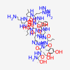 CC[C@H](C)[C@H](NC(=O)[C@H](Cc1c[nH]c2ccccc12)NC(=O)[C@H](Cc1c[nH]cn1)NC(=O)[C@@H](NC(=O)[C@@H](NC(=O)[C@H](Cc1ccc(O)cc1)NC(=O)[C@H](CCC(=O)O)NC(=O)[C@@H](N)[C@@H](C)O)[C@@H](C)CC)[C@@H](C)CC)C(=O)N[C@@H](CCCCN)C(=O)N[C@@H](CC(C)C)C(=O)N[C@@H](CCCNC(=N)N)C(=O)N[C@@H](CO)C(=O)NCC(=O)O